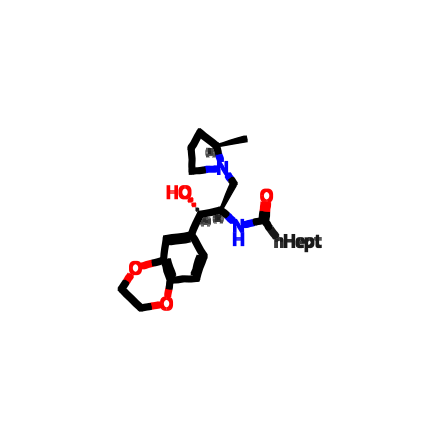 CCCCCCCC(=O)N[C@H](CN1CCC[C@H]1C)[C@@H](O)c1ccc2c(c1)OCCO2